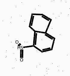 O=[SH](=O)c1[c]ccc2ccccc12